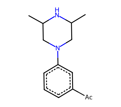 CC(=O)c1cccc(N2CC(C)NC(C)C2)c1